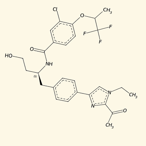 CCn1cc(-c2ccc(C[C@@H](CCO)NC(=O)c3ccc(OC(C)C(F)(F)F)c(Cl)c3)cc2)nc1C(C)=O